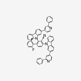 N#Cc1c(-n2c3ccccc3c3ccc(-c4ccnc(-c5ccccc5)c4)cc32)ccc(-c2c(F)cccc2F)c1-n1c2ccccc2c2ccc(-c3ccnc(-c4ccccc4)c3)cc21